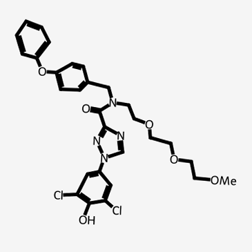 COCCOCCOCCN(Cc1ccc(Oc2ccccc2)cc1)C(=O)c1ncn(-c2cc(Cl)c(O)c(Cl)c2)n1